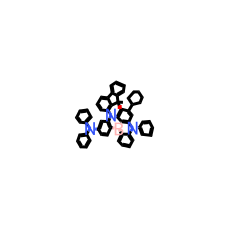 CC1(C)c2ccccc2-c2cccc(N3c4cc(N(c5ccccc5)c5ccccc5)ccc4B4c5ccccc5N(c5ccccc5)c5cc(C6CCCCC6)cc3c54)c21